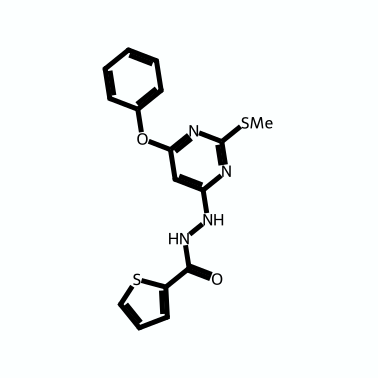 CSc1nc(NNC(=O)c2cccs2)cc(Oc2ccccc2)n1